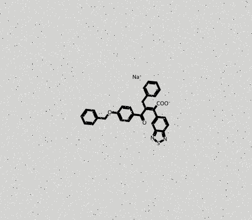 O=C([O-])C(=C(Cc1ccccc1)C(=O)c1ccc(OCc2ccccc2)cc1)c1ccc2nsnc2c1.[Na+]